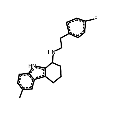 Cc1ccc2[nH]c3c(c2c1)CCCC3NCCc1ccc(F)cc1